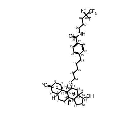 C[C@]12CCC(=O)C[C@@H]1CC[C@@H]1[C@@H]2[C@@H](OCCCCCc2ccc(C(=O)NCCCC(F)(F)C(F)(F)F)cc2)C[C@]2(C)[C@@H](O)CC[C@@H]12